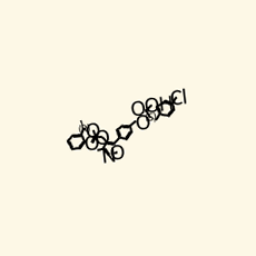 Cc1noc(-c2ccc(CO[C@@H](Cc3ccc(Cl)cc3)C(=O)O)cc2)c1OC(=O)O[C@H](C)c1ccccc1